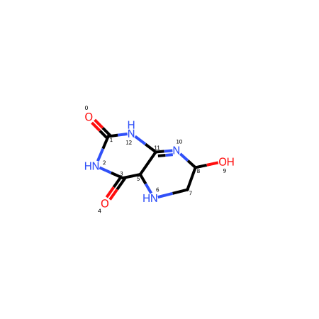 O=C1NC(=O)C2NCC(O)N=C2N1